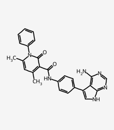 Cc1cc(C)n(-c2ccccc2)c(=O)c1C(=O)Nc1ccc(-c2c[nH]c3ncnc(N)c23)cc1